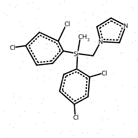 C[Si](Cn1ccnc1)(c1ccc(Cl)cc1Cl)c1ccc(Cl)cc1Cl